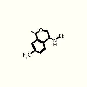 CCN[C@@H]1CO[C@H](C)c2cc(C(F)(F)F)ccc21